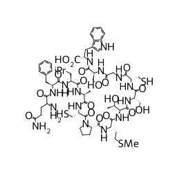 CSCC[C@H](NC(=O)[C@@H]1CCCN1C(=O)[C@H](CS)NC(=O)[C@H](C)NC(=O)[C@H](CC(C)C)NC(=O)[C@H](Cc1ccccc1)NC(=O)[C@@H](N)CCC(N)=O)C(=O)N[C@H](C(=O)N[C@@H](CO)C(=O)N[C@@H](CS)C(=O)NCC(=O)N[C@@H](CO)C(=O)N[C@@H](Cc1c[nH]c2ccccc12)C(=O)O)[C@@H](C)O